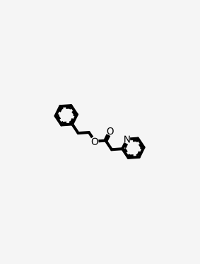 O=C(Cc1ccccn1)OCCc1ccccc1